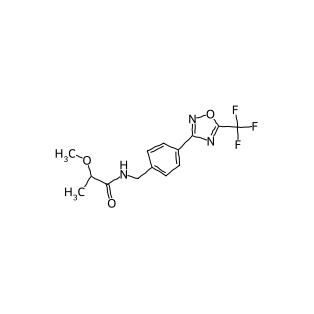 COC(C)C(=O)NCc1ccc(-c2noc(C(F)(F)F)n2)cc1